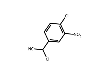 N#CC(Cl)c1ccc(Cl)c([N+](=O)[O-])c1